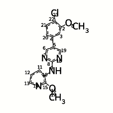 COc1cc(-c2cnc(Nc3cccnc3OC)nc2)ccc1Cl